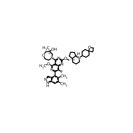 COc1nc(-c2c(C)c(C)cc3[nH]ncc23)c(F)c2nc(OC[C@]34CCC[C@H]3N(C3CCC5(CCO5)CC3)CCC4)nc(N3CCOC[C@@](C)(O)C3)c12